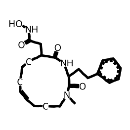 CN1CCCC=CCCCC(CC(=O)NO)C(=O)NC(CCc2ccccc2)C1=O